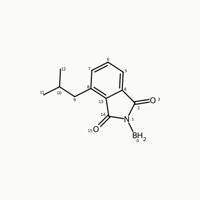 BN1C(=O)c2cccc(CC(C)C)c2C1=O